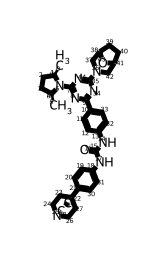 C[C@@H]1CC[C@H](C)N1c1nc(-c2ccc(NC(=O)Nc3ccc(C45CCN(CC4)CC5)cc3)cc2)nc(N2CC3CCC(C2)O3)n1